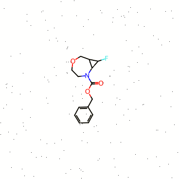 O=C(OCc1ccccc1)N1CCOCC2C(F)C21